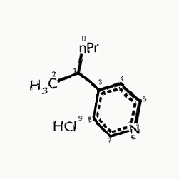 CCCC(C)c1ccncc1.Cl